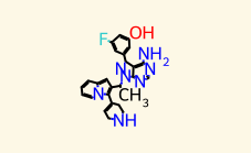 CC(c1cc2ccccn2c1C1=CCNCC1)n1nc(-c2cc(O)cc(F)c2)c2c(N)ncnc21